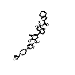 Cn1cc(-c2ccnc(-n3ncn4c5c(cc4c3=O)CCCC5)c2CO)cc(Nc2ccc(N3CCN(C4COC4)CC3)cn2)c1=O